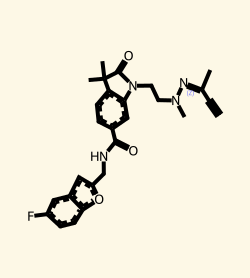 C#C/C(C)=N\N(C)CCN1C(=O)C(C)(C)c2ccc(C(=O)NCc3cc4cc(F)ccc4o3)cc21